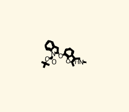 CNCc1c(C)oc2c(OC3Cc4ccccc4N3C(=O)OC(C)(C)C)cccc12